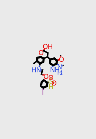 CNc1c(N)cc(C(CC(=O)O)c2ccc(C)c(NCCOc3ccc(I)cc3[SH](=O)=O)c2)cc1OC